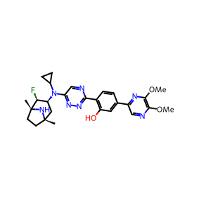 COc1ncc(-c2ccc(-c3ncc(N(C4CC4)[C@H]4C[C@]5(C)CC[C@@](C)(N5)[C@H]4F)nn3)c(O)c2)nc1OC